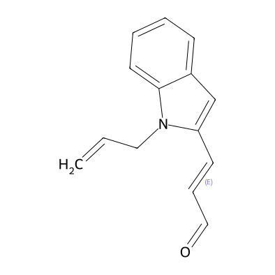 C=CCn1c(/C=C/C=O)cc2ccccc21